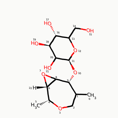 CC1CO[C@H](C)[C@@H]2OC2[C@@H]1O[C@@H]1OC(CO)[C@@H](O)[C@H](O)C1O